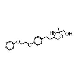 CC1(CO)NC(CCc2ccc(OCCOc3ccccc3)cc2)CO1